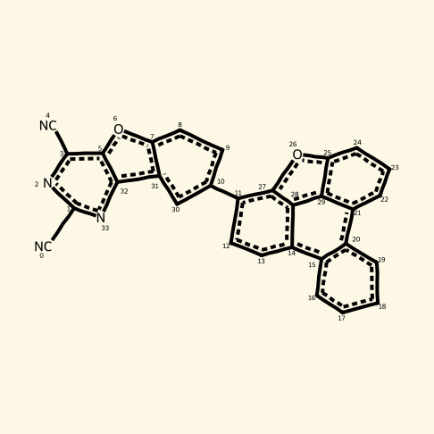 N#Cc1nc(C#N)c2oc3ccc(-c4ccc5c6ccccc6c6cccc7oc4c5c76)cc3c2n1